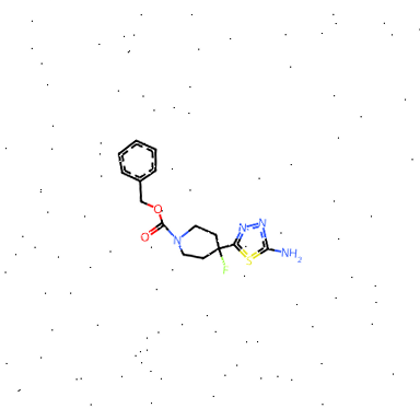 Nc1nnc(C2(F)CCN(C(=O)OCc3ccccc3)CC2)s1